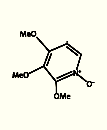 COc1[c]c[n+]([O-])c(OC)c1OC